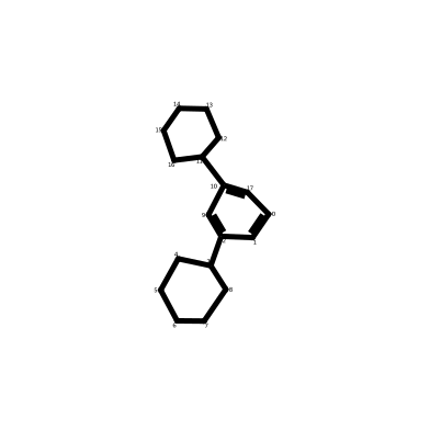 [c]1cc(C2CCCCC2)[c]c(C2CCCCC2)c1